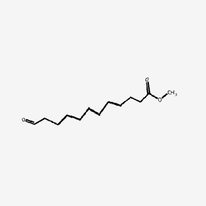 COC(=O)CCCCCCCCCCC=O